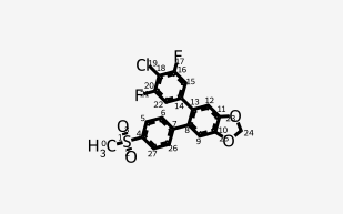 CS(=O)(=O)c1ccc(-c2cc3c(cc2-c2cc(F)c(Cl)c(F)c2)OCO3)cc1